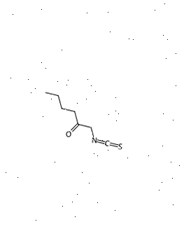 CCCCC(=O)CN=C=S